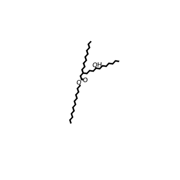 CCCCCCCCCCCCCOC(=O)CC(CCCCCCCCCC)CCCC(O)CCCCCCC